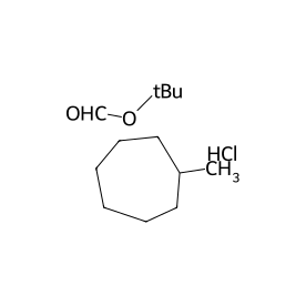 CC(C)(C)OC=O.CC1CCCCCC1.Cl